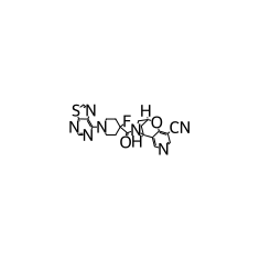 N#Cc1cncc2c1O[C@H]1C[C@@H]2N(C(=O)C2(F)CCN(c3ncnc4scnc34)CC2)C1